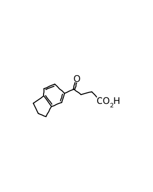 O=C(O)CCC(=O)c1ccc2c(c1)CCC2